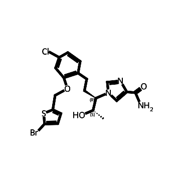 C[C@H](O)[C@@H](CCc1ccc(Cl)cc1OCc1ccc(Br)s1)n1cnc(C(N)=O)c1